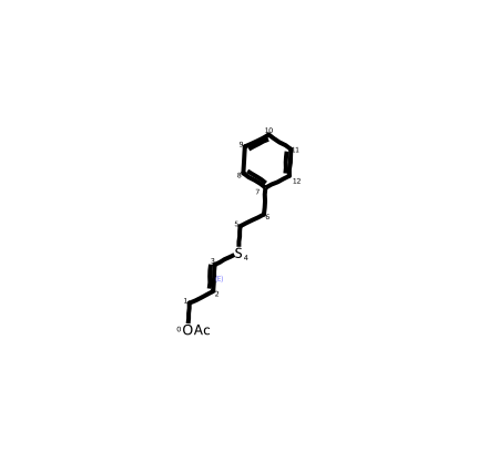 CC(=O)OC/C=C/SCCc1ccccc1